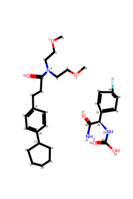 COCCN(CCOC)C(=O)CCc1ccc(C2CCCCC2)cc1.NC(=O)[C@H](NC(=O)O)c1ccc(F)cc1